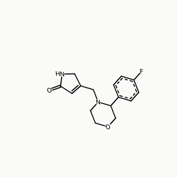 O=C1C=C(CN2CCOCC2c2ccc(F)cc2)CN1